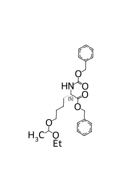 CCOC(C)OCCCC[C@H](NC(=O)OCc1ccccc1)C(=O)OCc1ccccc1